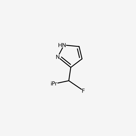 CC(C)C(F)c1cc[nH]n1